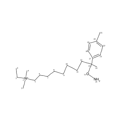 CC[N+](C)(C)CCCCCCCCC(C)(ON)c1ccc(C)cc1